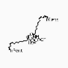 CCCCC/C=C\C/C=C\CCCCCCCC(=O)NC(CC)(NC(=O)CCCCCCC/C=C\C/C=C\CCCCC)C(C(=O)[O-])[N+](C)(C)C